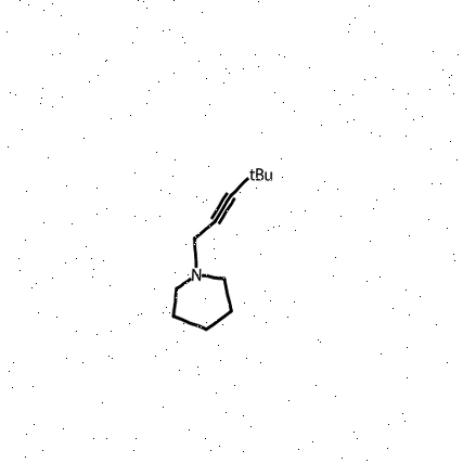 CC(C)(C)C#CCN1CCCCC1